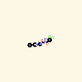 C[C@H]1[C@@H](N2CCC(c3ccccc3)CC2)CCN1C(=O)CNC(=O)c1ccc(Cl)c(Cl)c1